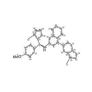 COc1ccc([C@H](Nc2cc(-c3ccc4ccn(C)c4c3)c3nccnc3c2)c2cnnn2C)cn1